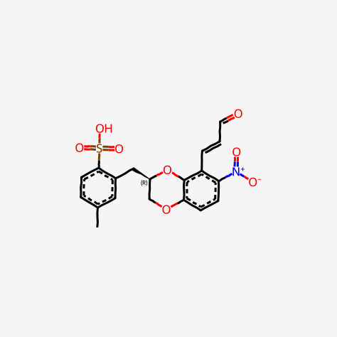 Cc1ccc(S(=O)(=O)O)c(C[C@@H]2COc3ccc([N+](=O)[O-])c(C=CC=O)c3O2)c1